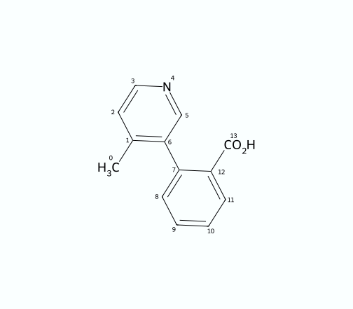 Cc1ccncc1-c1ccccc1C(=O)O